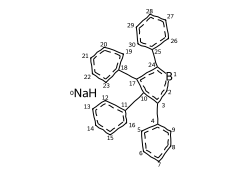 [NaH].b1cc(-c2ccccc2)c(-c2ccccc2)c(-c2ccccc2)c1-c1ccccc1